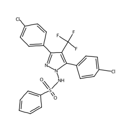 O=S(=O)(Nn1nc(-c2ccc(Cl)cc2)c(C(F)(F)F)c1-c1ccc(Cl)cc1)c1ccccc1